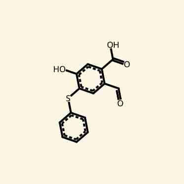 O=Cc1cc(Sc2ccccc2)c(O)cc1C(=O)O